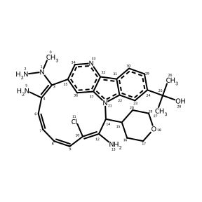 CN(N)/C1=C(N)/C=C\C=C/C(Cl)=C(\N)C(C2CCOCC2)n2c3cc(C(C)(C)O)ccc3c3ncc1cc32